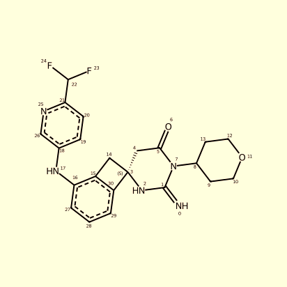 N=C1N[C@]2(CC(=O)N1C1CCOCC1)Cc1c(Nc3ccc(C(F)F)nc3)cccc12